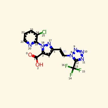 O=C(O)c1cc(/C=C/n2nnnc2C(F)(F)F)nn1-c1ncccc1Cl